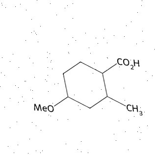 COC1CCC(C(=O)O)C(C)C1